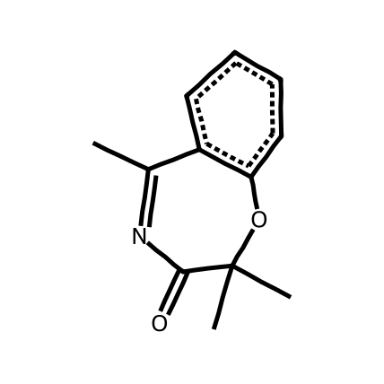 CC1=NC(=O)C(C)(C)Oc2ccccc21